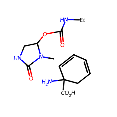 CCNC(=O)OC1CNC(=O)N1C.NC1(C(=O)O)C=CC=CC1